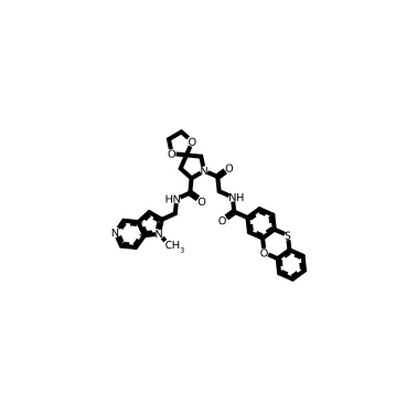 Cn1c(CNC(=O)C2CC3(CN2C(=O)CNC(=O)c2ccc4c(c2)Oc2ccccc2S4)OCCO3)cc2cnccc21